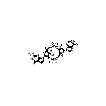 Nc1nc2c(ncn2[C@@H]2S[C@@H]3CO[P@@](=O)(S)O[C@H]4[C@H](F)[C@H](n5cnc6c(=O)[nH]cnc65)O[C@@H]4CO[P@](=O)(S)O[C@@H]2[C@@H]3O)c(=O)[nH]1